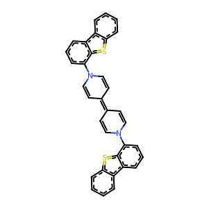 C1=CN(c2cccc3c2sc2ccccc23)C=CC1=C1C=CN(c2cccc3c2sc2ccccc23)C=C1